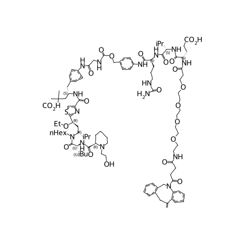 C=C1Cc2ccccc2CN(C(=O)CCC(=O)NCCOCCOCCOCCOCCC(=O)N[C@@H](CCC(=O)O)C(=O)N[C@H](C(=O)N[C@@H](CCCNC(N)=O)C(=O)Nc2ccc(COC(=O)NCC(=O)Nc3ccc(C[C@@H](CC(C)(C)C(=O)O)NC(=O)c4csc([C@@H](C[C@H](C(C)C)N(CCCCCC)C(=O)[C@@H](NC(=O)[C@H]5CCCCN5CCO)[C@@H](C)CC)OCC)n4)cc3)cc2)C(C)C)c2ccccc21